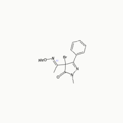 CO/N=C(\C)C1(Br)C(=O)N(C)N=C1c1ccccc1